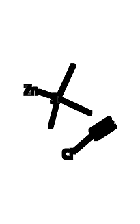 C#CCl.C[Si](C)(C)[Zn]